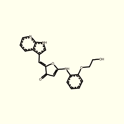 O=C1C=C(Nc2ccccc2OCCO)OC1=Cc1c[nH]c2ncccc12